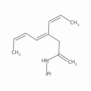 C=C(CC(/C=C\C)=C/C=C\C)NC(C)C